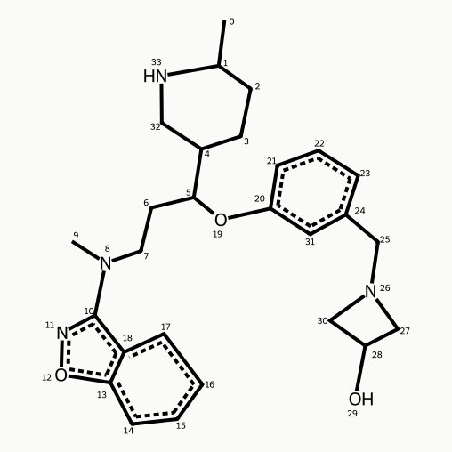 CC1CCC(C(CCN(C)c2noc3ccccc23)Oc2cccc(CN3CC(O)C3)c2)CN1